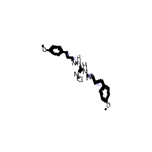 COc1ccc(/C=C/C=N/NC(=NCl)N/N=C/C=C/c2ccc(OC)cc2)cc1